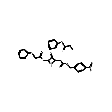 CCC(=O)Oc1ccccc1.O=C(COc1ccccc1)NC1NC(CC(=O)OCc2ccc([N+](=O)[O-])cc2)C1=O